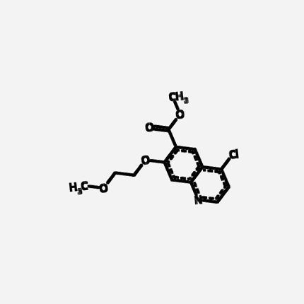 COCCOc1cc2nccc(Cl)c2cc1C(=O)OC